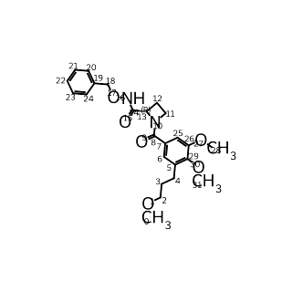 COCCCc1cc(C(=O)N2CC[C@@H]2C(=O)NOCc2ccccc2)cc(OC)c1OC